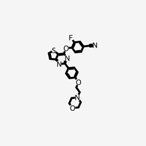 N#Cc1ccc(Oc2nc(-c3ccc(OCCN4CCOCC4)cc3)nc3ccsc23)c(F)c1